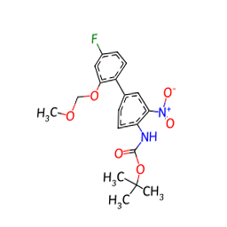 COCOc1cc(F)ccc1-c1ccc(NC(=O)OC(C)(C)C)c([N+](=O)[O-])c1